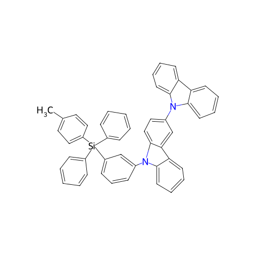 Cc1ccc([Si](c2ccccc2)(c2ccccc2)c2cccc(-n3c4ccccc4c4cc(-n5c6ccccc6c6ccccc65)ccc43)c2)cc1